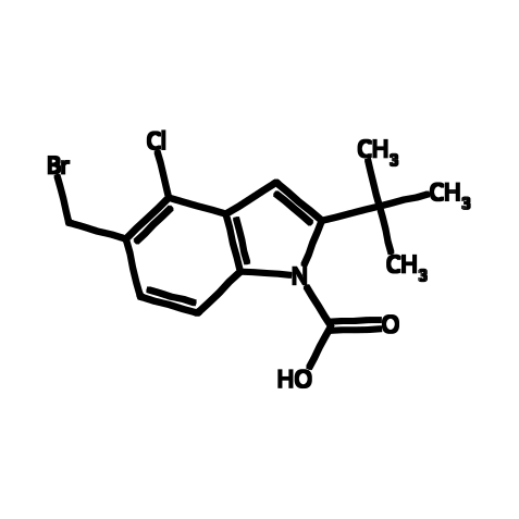 CC(C)(C)c1cc2c(Cl)c(CBr)ccc2n1C(=O)O